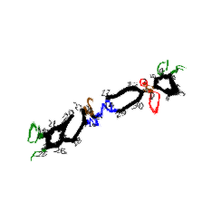 O=S(=O)(c1ccc(F)c(Cl)c1)C1CCN(c2nc(Cc3ccc(Cl)c(F)c3)cs2)CC1